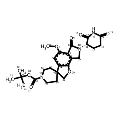 COc1cc2c(c3c1C(=O)N([C@H]1CCC(=O)NC1=O)C3)OCC21CCN(C(=O)OC(C)(C)C)CC1